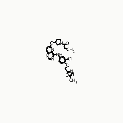 C=CC(=O)N1CC[C@H](Oc2ccc3ncnc(Nc4ccc(OCc5nnc(C)o5)c(Cl)c4)c3n2)C1